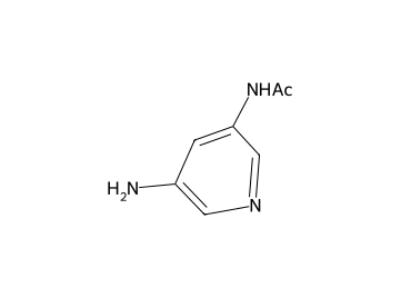 CC(=O)Nc1cncc(N)c1